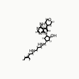 C/C=C(\C)CCNCCCNC[C@@H]1C[C@@H](O)[C@H](n2cc(C3CCOCC3)c3c(N)ncnc32)C1